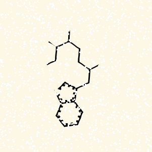 CC(CCC(Cc1c[nH]c2ccccc12)C(=O)O)[C@H](C)CO